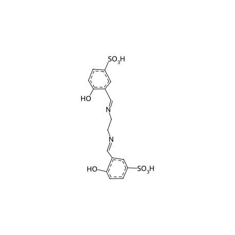 O=S(=O)(O)c1ccc(O)c(C=NCCN=Cc2cc(S(=O)(=O)O)ccc2O)c1